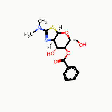 CN(C)C1=N[C@@H]2[C@@H](O)[C@H](OC(=O)c3ccccc3)[C@@H](CO)O[C@@H]2S1